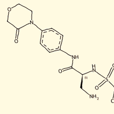 NC[C@H](NS(=O)(=O)CC(F)(F)F)C(=O)Nc1ccc(N2CCOCC2=O)cc1